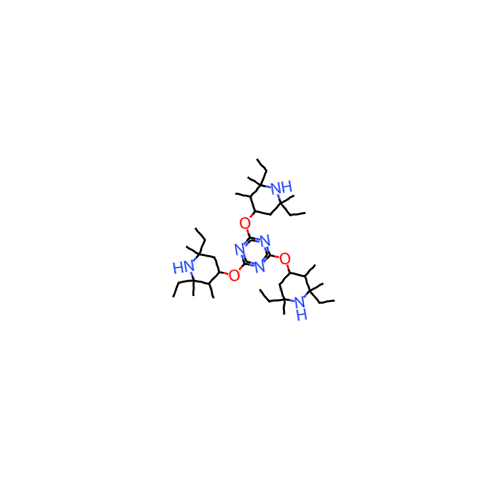 CCC1(C)CC(Oc2nc(OC3CC(C)(CC)NC(C)(CC)C3C)nc(OC3CC(C)(CC)NC(C)(CC)C3C)n2)C(C)C(C)(CC)N1